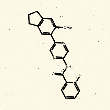 COc1cc2c(cc1-c1cnc(NC(=O)c3ccccc3F)cn1)CCC2